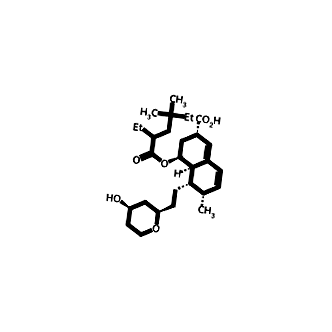 CCC(CC(C)(C)CC)C(=O)O[C@H]1C[C@H](C(=O)O)C=C2C=C[C@H](C)[C@H](CC[C@@H]3C[C@H](O)CCO3)[C@H]21